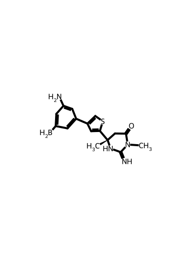 Bc1cc(N)cc(-c2csc([C@]3(C)CC(=O)N(C)C(=N)N3)c2)c1